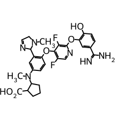 CN1CC=NC1c1cc(N(C)C2CCCC2C(=O)O)ccc1Oc1c(F)cnc(Oc2cc(C(=N)N)ccc2O)c1F